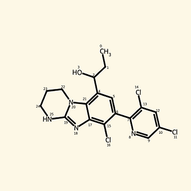 CCC(O)c1cc(-c2ncc(Cl)cc2Cl)c(Cl)c2nc3n(c12)CCCN3